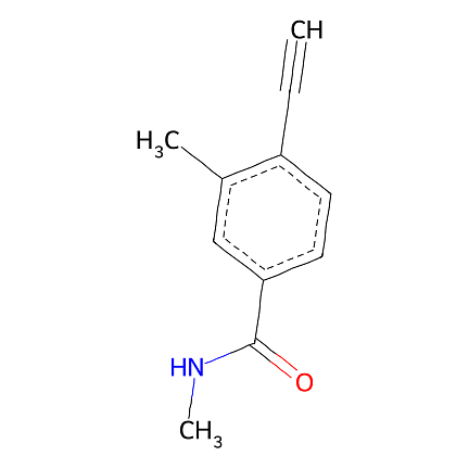 C#Cc1ccc(C(=O)NC)cc1C